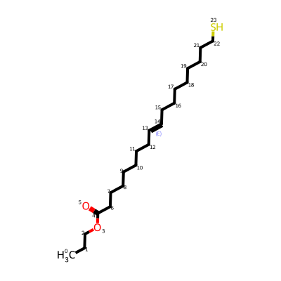 CCCOC(=O)CCCCCCC/C=C/CCCCCCCCS